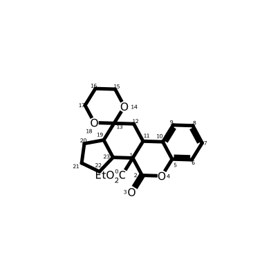 CCOC(=O)C12C(=O)Oc3ccccc3C1CC1(OCCCO1)C1CCCC12